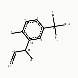 Cc1ccc(C(F)(F)F)cc1C(C)C=O